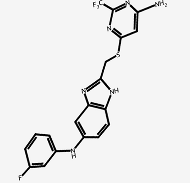 Nc1cc(SCc2nc3cc(Nc4cccc(F)c4)ccc3[nH]2)nc(C(F)(F)F)n1